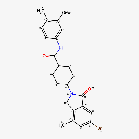 COc1cc(NC(=O)C2CCC(N3Cc4c(C)cc(Br)cc4C3=O)CC2)ccc1C